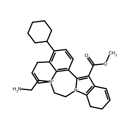 COC(=O)c1c2c(n3c1-c1ccc(C4CCCCC4)c4c1[N+](CCN)(C=CC4)CC3)CCC=C2